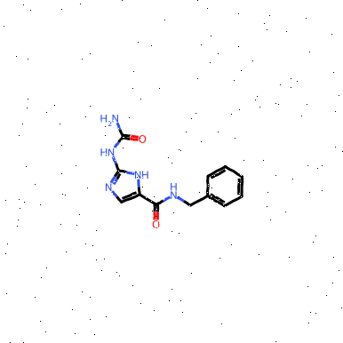 NC(=O)Nc1ncc(C(=O)NCc2ccccc2)[nH]1